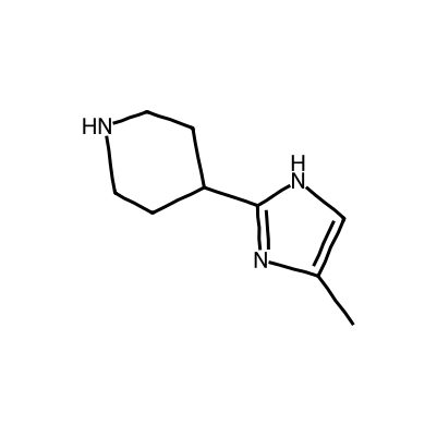 Cc1c[nH]c(C2CCNCC2)n1